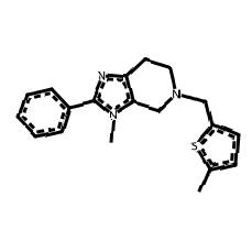 Cc1ccc(CN2CCc3nc(-c4ccccc4)n(C)c3C2)s1